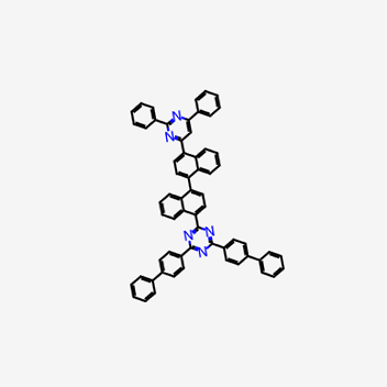 c1ccc(-c2ccc(-c3nc(-c4ccc(-c5ccccc5)cc4)nc(-c4ccc(-c5ccc(-c6cc(-c7ccccc7)nc(-c7ccccc7)n6)c6ccccc56)c5ccccc45)n3)cc2)cc1